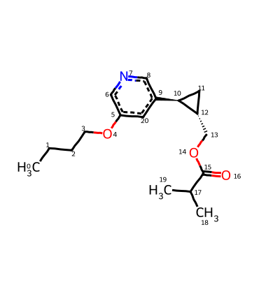 CCCCOc1cncc([C@H]2C[C@@H]2COC(=O)C(C)C)c1